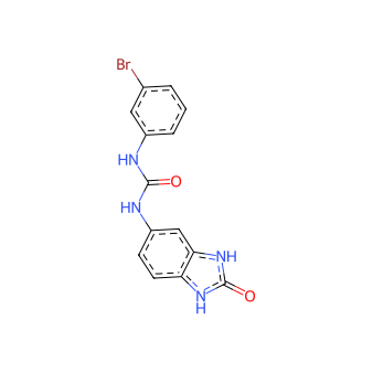 O=C(Nc1cccc(Br)c1)Nc1ccc2[nH]c(=O)[nH]c2c1